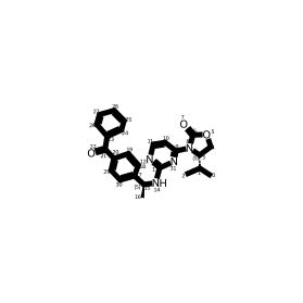 CC(C)[C@H]1COC(=O)N1c1ccnc(N[C@@H](C)c2ccc(C(=O)c3ccccc3)cc2)n1